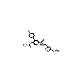 COc1cc(CNC(=O)c2cc(-c3ccc(Cl)cc3)c(O[C@@H](C)C(F)(F)F)cn2)on1